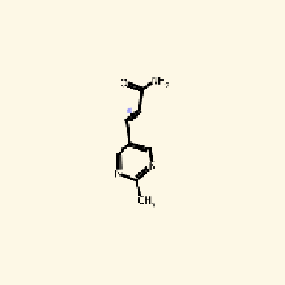 Cc1ncc(/C=C/C(N)=O)cn1